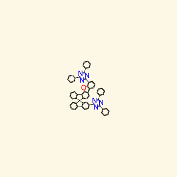 c1ccc(-c2nc(-c3ccccc3)nc(-c3ccc4c(c3)[C@@]3(c5ccccc5-4)c4ccccc4-c4c3ccc3c4oc4c(-c5nc(-c6ccccc6)nc(-c6ccccc6)n5)cccc43)n2)cc1